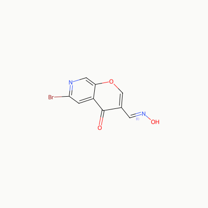 O=c1c(/C=N/O)coc2cnc(Br)cc12